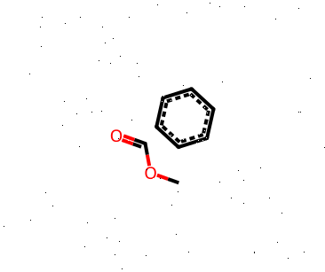 COC=O.c1ccccc1